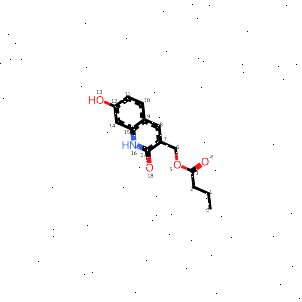 CCCC(=O)OCc1cc2ccc(O)cc2[nH]c1=O